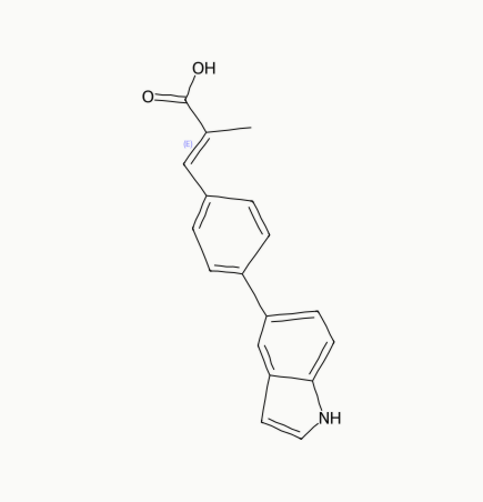 C/C(=C\c1ccc(-c2ccc3[nH]ccc3c2)cc1)C(=O)O